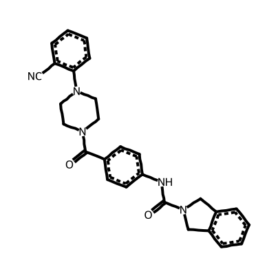 N#Cc1ccccc1N1CCN(C(=O)c2ccc(NC(=O)N3Cc4ccccc4C3)cc2)CC1